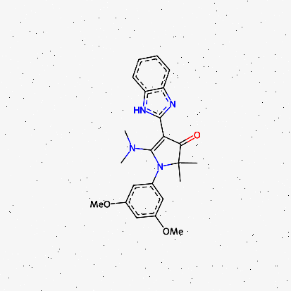 COc1cc(OC)cc(N2C(N(C)C)=C(c3nc4ccccc4[nH]3)C(=O)C2(C)C)c1